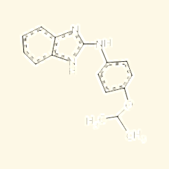 CC(C)Oc1ccc(Nc2nc3ccccc3[nH]2)cc1